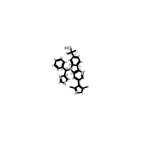 CC1=NCC(C)=C1c1cnc2c3ccc(C(C)(C)O)cc3n(C(c3ccccc3)c3cscn3)c2c1